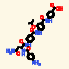 CC(C)Oc1cc(C(=O)Nc2ccc(C(=O)O)cc2)ccc1NC(=O)c1ccc(NC(=O)[C@H](CC(N)=O)NC(=O)c2ccc(N)cc2)cc1